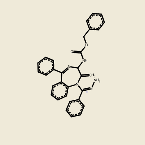 C=C1C(NC(=O)OCc2ccccc2)N=C(c2ccccc2)c2ccccc2N1/C(=N\N)c1ccccc1